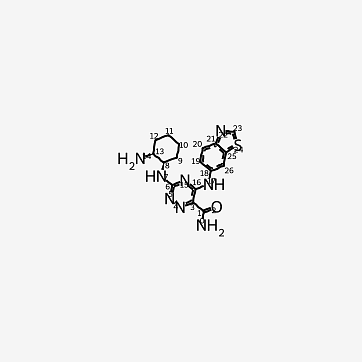 NC(=O)c1nnc(N[C@@H]2CCCC[C@@H]2N)nc1Nc1ccc2ncsc2c1